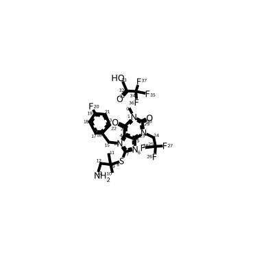 Cn1c(=O)c2c(nc(SC(C)(C)CN)n2Cc2ccc(F)cc2)n(CC(F)(F)F)c1=O.O=C(O)C(F)(F)F